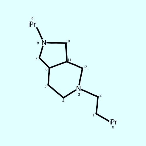 CC(C)CCN1CCC2CN(C(C)C)CC2C1